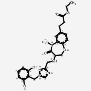 CCOC(=O)CCc1ccc2c(c1)N(C)C(=O)C(NCc1ncn(Cc3c(Cl)cccc3Cl)n1)CO2